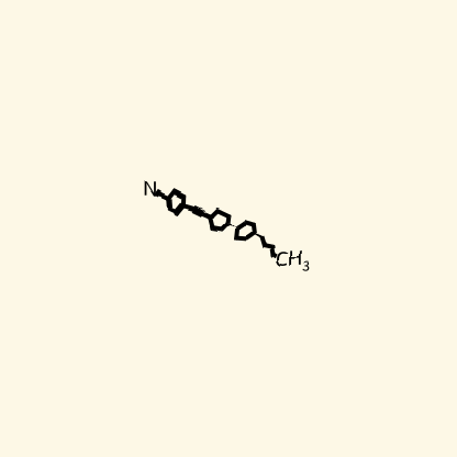 CCCCC[C@H]1CC[C@H](C2CCC(C#Cc3ccc(C#N)cc3)CC2)CC1